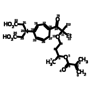 C=C(C)C(=O)OC(C)CCOC(I)(CC)C(=O)C1=CC=C(N(CC(=O)O)CC(=O)O)C=CC1